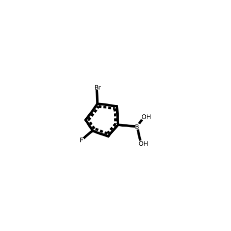 OB(O)c1cc(F)cc(Br)c1